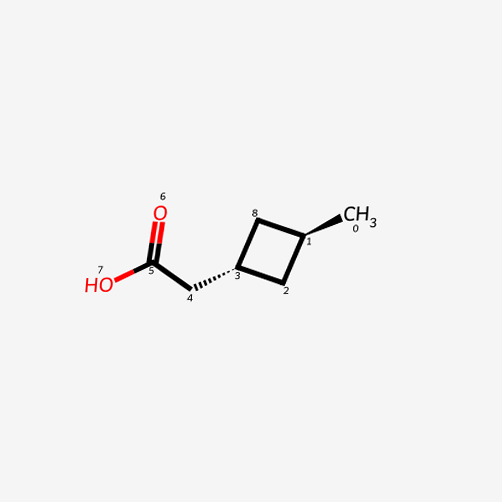 C[C@H]1C[C@H](CC(=O)O)C1